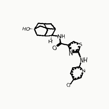 O=C(N[C@H]1C2CC3CC1C[C@](O)(C3)C2)c1csc(Nc2ccc(Cl)cn2)n1